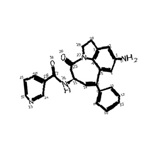 Nc1cc2c3c(c1)C(c1ccccc1)=C[C@@H](NC(=O)c1cccnc1)C(=O)N3CC2